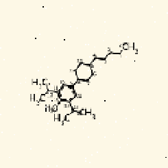 CCCCCC1CCC(c2cc(C(C)C)c(O)c(C(C)C)c2)CC1